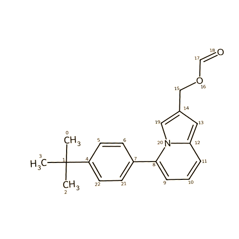 CC(C)(C)c1ccc(-c2cccc3cc(COC=O)cn23)cc1